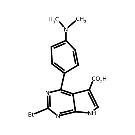 CCc1nc(-c2ccc(N(C)C)cc2)c2c(C(=O)O)c[nH]c2n1